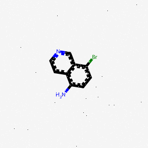 Nc1ccc(Br)c2cnccc12